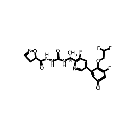 C[C@@H](NC(=O)NNC(=O)C1CC=NO1)c1ncc(-c2cc(Cl)cc(F)c2OCC(F)F)cc1F